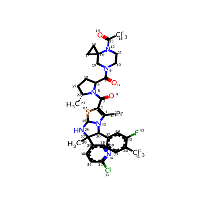 CC(C)C1=C(C(=O)N2C(C(=O)N3CCN(C(=O)C(F)(F)F)C4(CC4)C3)CC[C@H]2C)SC2NC(C)(c3ccc(Cl)nc3)C(c3ccc(C(F)(F)F)c(F)c3)N12